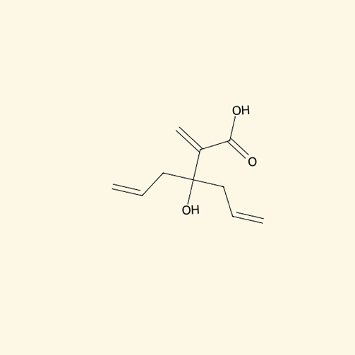 C=CCC(O)(CC=C)C(=C)C(=O)O